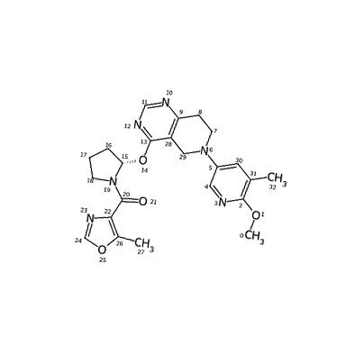 COc1ncc(N2CCc3ncnc(O[C@H]4CCCN4C(=O)c4ncoc4C)c3C2)cc1C